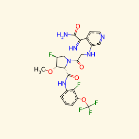 CO[C@H]1[C@@H](C(=O)Nc2cccc(OC(F)(F)F)c2F)N(C(=O)CNc2cnccc2C(=N)C(N)=O)C[C@@H]1F